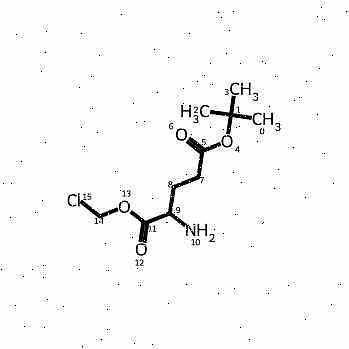 CC(C)(C)OC(=O)CCC(N)C(=O)OCCl